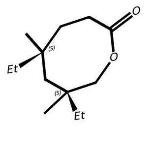 CC[C@@]1(C)CCC(=O)OC[C@@](C)(CC)C1